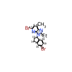 CCc1nc2c(C)cc(Br)nc2n1C1CCc2cc(Br)ccc21